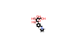 OCC1O[C@@H](c2cccc(Cn3cccc3)c2)[C@H](O)C(O)[C@@H]1O